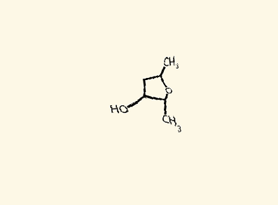 CC1CC(O)C(C)O1